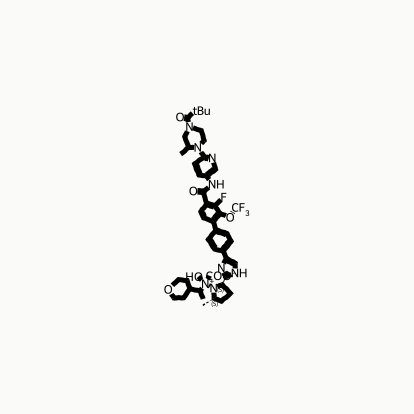 CC1CN(C(=O)C(C)(C)C)CCN1c1ccc(NC(=O)c2ccc(-c3ccc(-c4c[nH]c([C@@H]5CC[C@H](C)N5[N+](O)(C(=O)[O-])C(C)C5CCOCC5)n4)cc3)c(OC(F)(F)F)c2F)cn1